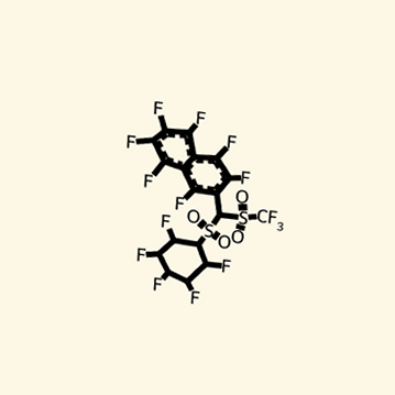 O=S(=O)(C1C(F)C(F)C(F)C(F)C1F)C(c1c(F)c(F)c2c(F)c(F)c(F)c(F)c2c1F)S(=O)(=O)C(F)(F)F